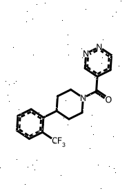 O=C(c1ccnnc1)N1CCC(c2ccccc2C(F)(F)F)CC1